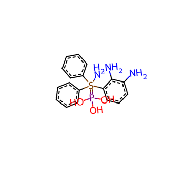 Nc1cccc(S(N)(c2ccccc2)(c2ccccc2)=P(O)(O)O)c1N